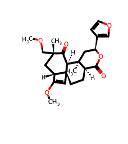 COC[C@@]1(C)C[C@H]2C(OC)=C[C@]23CC[C@@H]2C(=O)O[C@H](c4ccoc4)C[C@]2(C)[C@@H]3C1=O